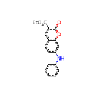 CCOC(=O)c1cc2ccc(Nc3ccccc3)cc2oc1=O